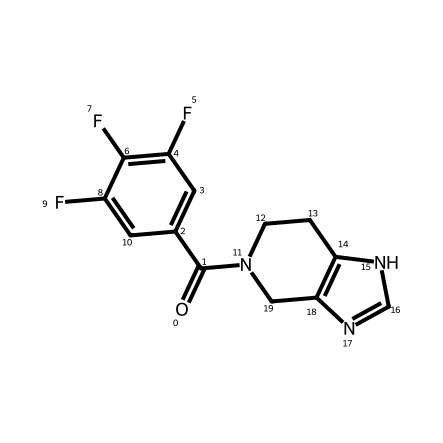 O=C(c1cc(F)c(F)c(F)c1)N1CCc2[nH]cnc2C1